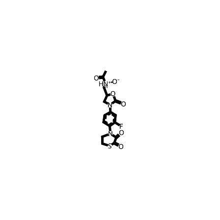 CC(=O)[N@@H+]([O-])CC1CN(c2ccc(N3CCSC(=O)C3=O)c(F)c2)C(=O)O1